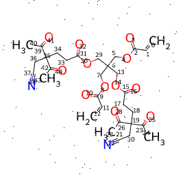 C=CC(=O)OCC(COC(=O)C=C)(COC(=O)CCC(CC#N)(C(C)=O)C(C)=O)COC(=O)CCC(CC#N)(C(C)=O)C(C)=O